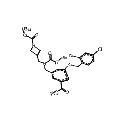 COC(=O)c1cc(CN(CC2CN(C(=O)OC(C)(C)C)C2)C(=O)OC(C)(C)C)cc(OCc2ccc(Cl)cc2Br)c1